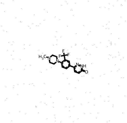 CN1CCN(c2ccc(-c3ccc(=O)[nH]n3)cc2C(F)(F)F)CC1